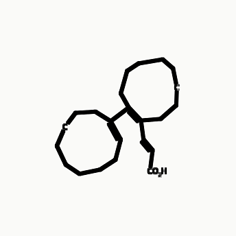 O=C(O)C=CC1=C(C2=CCCCCCCCC2)CCCCCCCC1